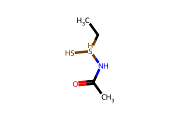 CC[SH](S)NC(C)=O